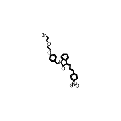 O=C1C(=CC=Cc2ccc([N+](=O)[O-])cc2)c2ccccc2N1Cc1ccc(OCCOCCBr)cc1